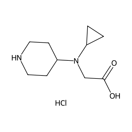 Cl.O=C(O)CN(C1CCNCC1)C1CC1